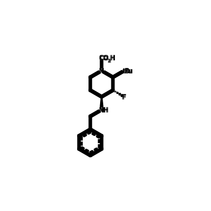 CC(C)(C)C1[C@H](F)[C@@H](NCc2ccccc2)CCN1C(=O)O